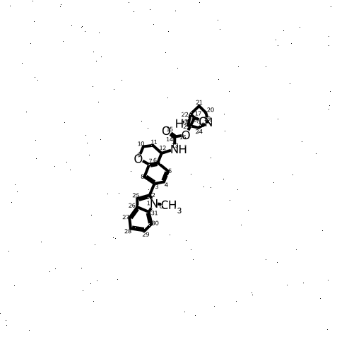 Cn1c(-c2ccc3c(c2)OCCC3NC(=O)O[C@@H]2CN3CCC2CC3)cc2ccccc21